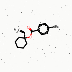 C=CC1(OC(=O)c2ccc(C(C)CC)cc2)CCCCC1